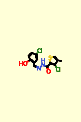 Cc1csc(C(=O)N/N=C\c2cc(Cl)ccc2O)c1Cl